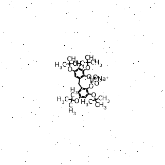 CC(C)(C)Oc1cc2c(c(OC(C)(C)C)c1)OP(=O)([O-])Oc1c(cc(OC(C)(C)C)cc1OC(C)(C)C)C2.[Na+]